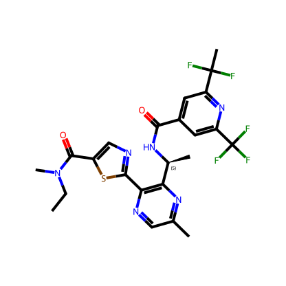 CCN(C)C(=O)c1cnc(-c2ncc(C)nc2[C@H](C)NC(=O)c2cc(C(C)(F)F)nc(C(F)(F)F)c2)s1